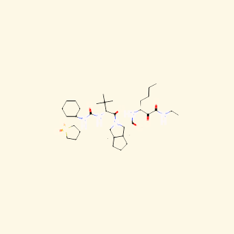 CCCC[C@H](NC(=O)[C@@H]1[C@H]2CCC[C@H]2CN1C(=O)[C@@H](NC(=O)NC1([C@@H]2CCCS2(=O)=O)CCCCC1)C(C)(C)C)C(=O)C(=O)NCC